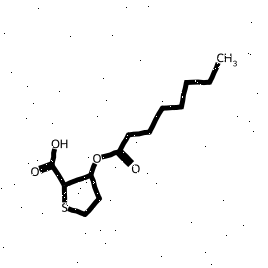 CCCCCCCC(=O)OC1CCSC1C(=O)O